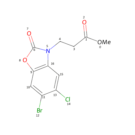 COC(=O)CCn1c(=O)oc2cc(Br)c(Cl)cc21